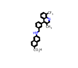 Cc1cnc2c(C(F)(F)F)cccc2c1-c1cccc(CNc2ccc3cc(C(=O)O)ccc3c2)c1